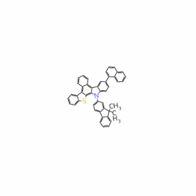 CC1(C)c2ccccc2-c2ccc(-n3c4ccc(-c5cccc6ccccc56)cc4c4c5ccccc5c5c6ccccc6sc5c43)cc21